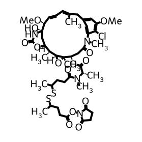 COc1cc2cc(c1Cl)N(C)C(=O)C[C@H](OC(=O)[C@H](C)N(C)C(=O)CCC(C)SSC(C)CCC(=O)ON1C(=O)CCC1=O)[C@]1(C)O[C@H]1[C@H](C)[C@@H]1C[C@@](O)(NC(=O)O1)[C@H](OC)/C=C/C=C(\C)C2